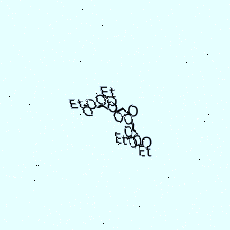 CCC(=O)OCC(COC(=O)CC(=O)OCC(COC(=O)CC)OC(=O)CC)OC(=O)CC